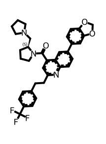 O=C(c1cc(CCc2ccc(C(F)(F)F)cc2)nc2ccc(-c3ccc4c(c3)OCO4)cc12)N1CCC[C@H]1CN1CCCC1